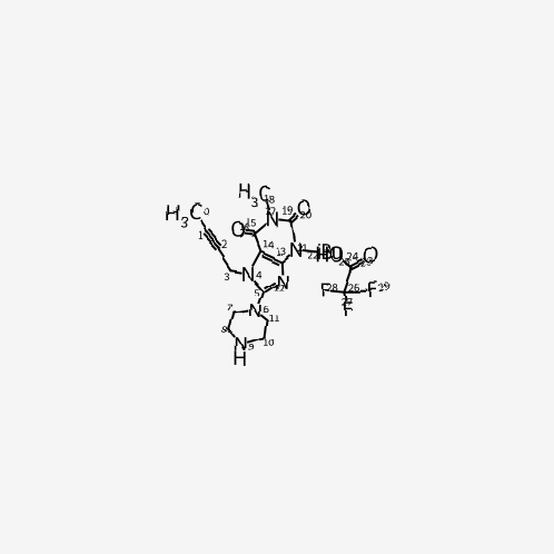 CC#CCn1c(N2CCNCC2)nc2c1c(=O)n(C)c(=O)n2C(C)CC.O=C(O)C(F)(F)F